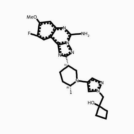 COc1cc2nc(N)n3nc([C@H]4CC[C@@H](C)N(c5cnn(CC6(O)CCC6)c5)C4)nc3c2cc1F